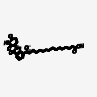 O=C(O)CCCCCCCCCCCCCC[S+]([O-])c1cccc2c1CN(C1CCC(=O)NC1=O)C2=O